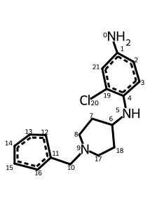 Nc1ccc(NC2CCN(Cc3ccccc3)CC2)c(Cl)c1